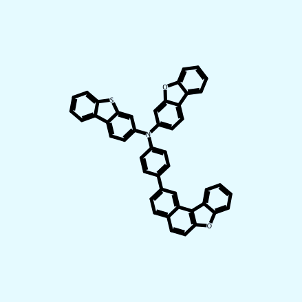 c1ccc2c(c1)oc1cc(N(c3ccc(-c4ccc5ccc6oc7ccccc7c6c5c4)cc3)c3ccc4c(c3)sc3ccccc34)ccc12